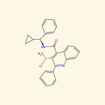 C[S+]([O-])c1c(-c2ccccc2)nc2ccccc2c1C(=O)N[C@H](c1ccccc1)C1CC1